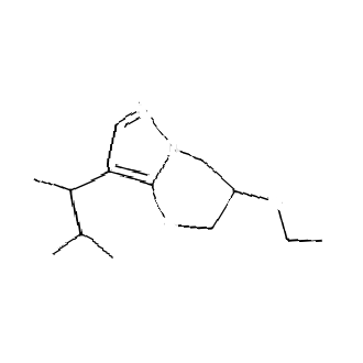 CCOC1COc2c(C(C)C(C)C)cnn2C1